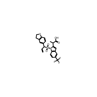 C=CC(c1ccc2c(c1)CCO2)S(=O)(=O)n1c(C(C)C(=O)O)cc2cc(C(F)(F)F)ccc21